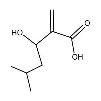 C=C(C(=O)O)C(O)CC(C)C